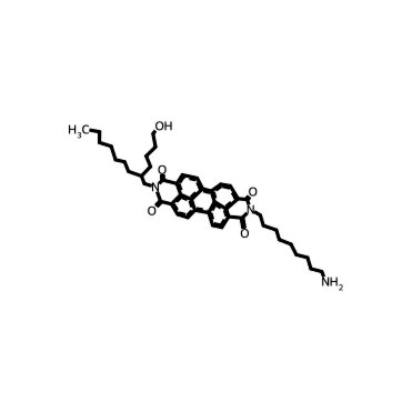 CCCCCCCC(CCCCO)CN1C(=O)c2ccc3c4ccc5c6c(ccc(c7ccc(c2c37)C1=O)c64)C(=O)N(CCCCCCCCCN)C5=O